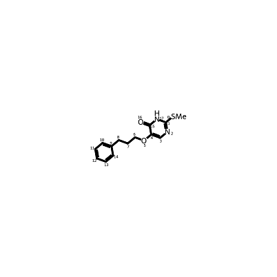 CSc1ncc(OCCCc2ccccc2)c(=O)[nH]1